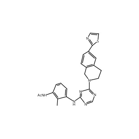 CC(=O)Nc1cccc(Nc2ncnc(N3CCc4cc(-c5nccs5)ccc4C3)n2)c1C